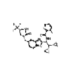 Cc1cccnc1C(=O)N[C@H](c1nc2cc(CN3C[C@@H](C(F)(F)F)NC3=O)ccc2o1)C(C1CC1)C1CC1